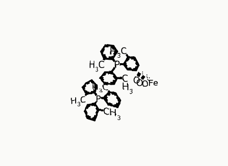 Cc1ccccc1P(c1ccccc1C)c1ccccc1C.Cc1ccccc1P(c1ccccc1C)c1ccccc1C.[C]=O.[C]=O.[C]=O.[Fe]